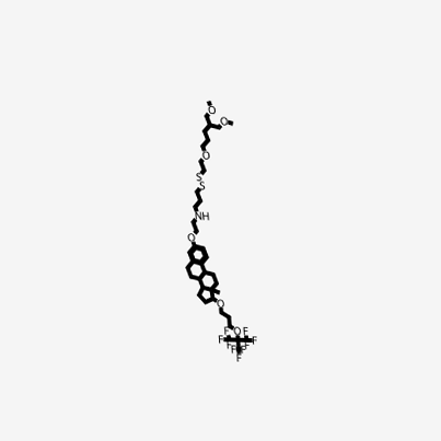 COCC(CCCOCCSSCCCNCCOc1ccc2c(c1)CCC1C2CCC2(C)C(OCCCOC(C(F)(F)F)(C(F)(F)F)C(F)(F)F)CCC12)COC